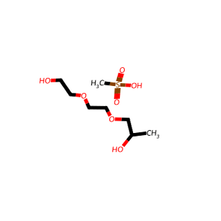 CC(O)COCCOCCO.CS(=O)(=O)O